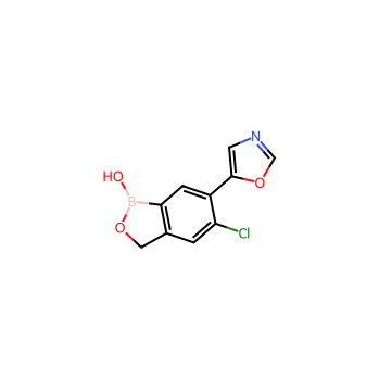 OB1OCc2cc(Cl)c(-c3cnco3)cc21